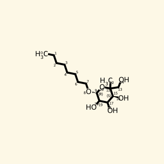 CCCCCCCCO[C@@H]1OC(C)(CO)[C@@H](O)C(O)C1O